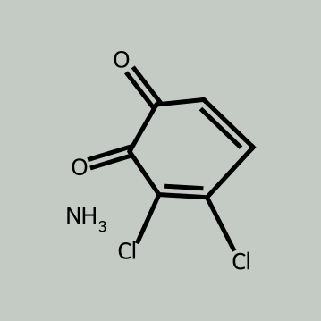 N.O=C1C=CC(Cl)=C(Cl)C1=O